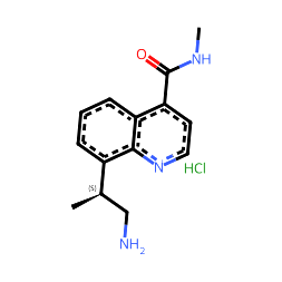 CNC(=O)c1ccnc2c([C@H](C)CN)cccc12.Cl